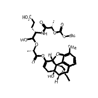 COc1ccc2c3c1O[C@H]1C(OC(=O)[C@H](C)OC(O)[C@H](CCC(=O)O)NC(=O)[C@H](C)OC(=O)OC(C)(C)C)=CC[C@@]4(O)[C@@H](C2)N(C)CC[C@]314